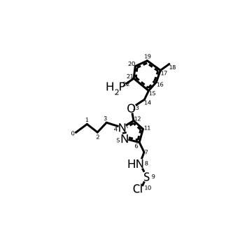 CCCCn1nc(CNSCl)cc1OCc1cc(C)ccc1P